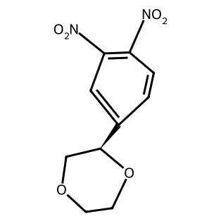 O=[N+]([O-])c1ccc([C@@H]2COCCO2)cc1[N+](=O)[O-]